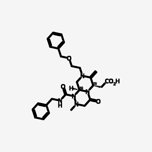 C=C1[C@H](CC(=O)O)N2C(=O)CN(C)N(C(=O)NCc3ccccc3)[C@H]2CN1CCOCc1ccccc1